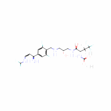 COC(=O)N[C@H](C(=O)NC[C@@H](O)CNCc1c(F)cc(C(=N)/C=C\NC(F)F)cc1F)C(C)(C)C(F)(F)F